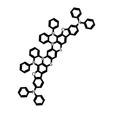 c1ccc(N(c2ccccc2)c2ccc3c(c2)oc2c4c5c(cc23)Sc2cc3c(cc2B5c2ccccc2N4c2ccccc2)B2c4ccccc4N(c4ccccc4)c4c2c(cc2c4oc4cc(N(c5ccccc5)c5ccccc5)ccc42)S3)cc1